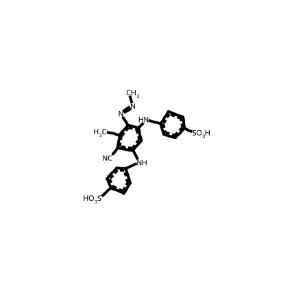 C/N=N/c1c(Nc2ccc(S(=O)(=O)O)cc2)cc(Nc2ccc(S(=O)(=O)O)cc2)c(C#N)c1C